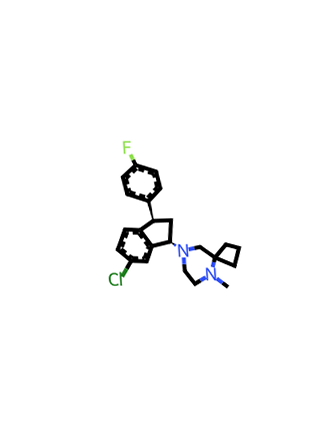 CN1CCN([C@H]2C[C@H](c3ccc(F)cc3)c3ccc(Cl)cc32)CC12CCC2